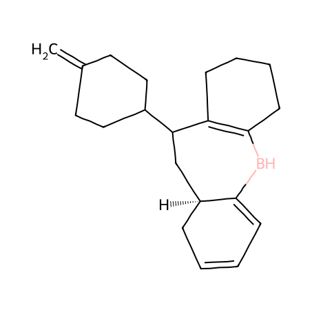 C=C1CCC(C2C[C@@H]3CC=CC=C3BC3=C2CCCC3)CC1